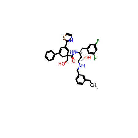 CCc1cccc(CNC[C@@H](O)[C@H](Cc2cc(F)cc(F)c2)NC(=O)C2(CO)C=C(c3nccs3)C=C(c3ccccc3)C2)c1